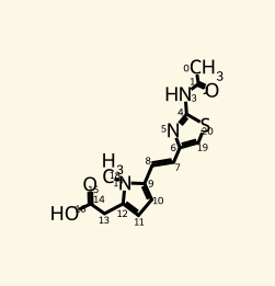 CC(=O)Nc1nc(C=Cc2ccc(CC(=O)O)n2C)cs1